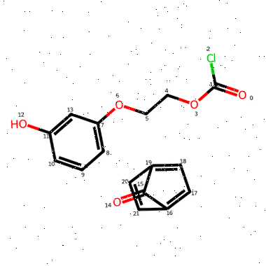 O=C(Cl)OCCOc1cccc(O)c1.O=C1C2=CC=C1C=C2